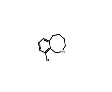 CC(C)(C)c1cccc2c1CNCCCC2